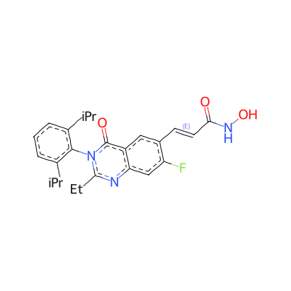 CCc1nc2cc(F)c(/C=C/C(=O)NO)cc2c(=O)n1-c1c(C(C)C)cccc1C(C)C